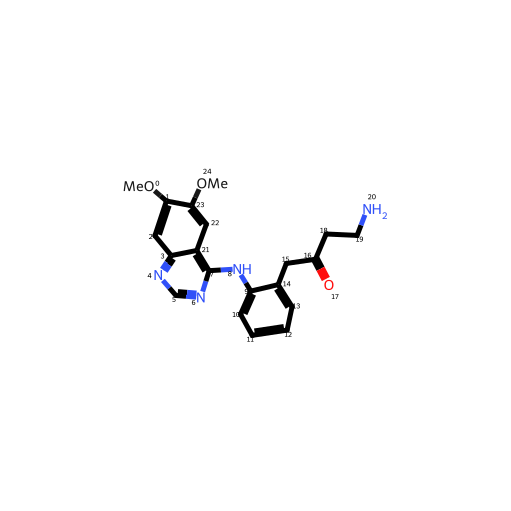 COc1cc2ncnc(Nc3ccccc3CC(=O)CCN)c2cc1OC